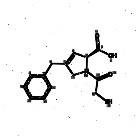 O=C(O)[C@@H]1C=C(Cc2ccccc2)CN1C(=O)CS